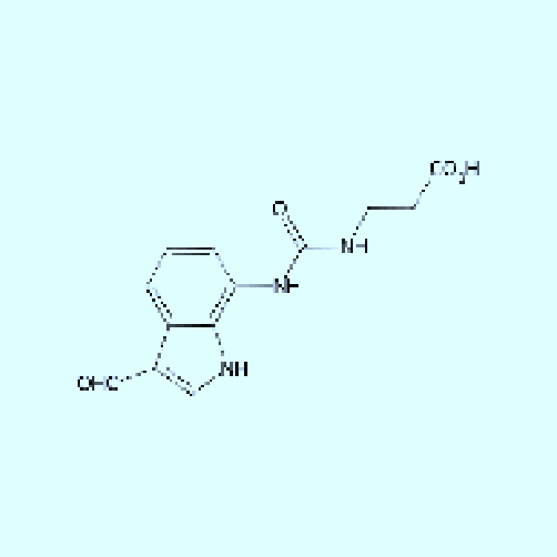 O=Cc1c[nH]c2c(NC(=O)NCCC(=O)O)cccc12